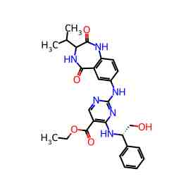 CCOC(=O)c1cnc(Nc2ccc3c(c2)C(=O)NC(C(C)C)C(=O)N3)nc1N[C@H](CO)c1ccccc1